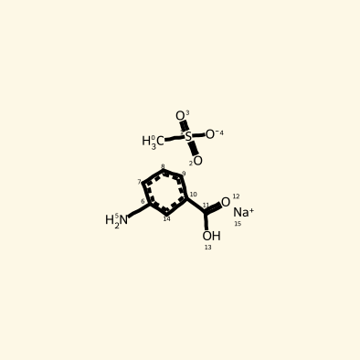 CS(=O)(=O)[O-].Nc1cccc(C(=O)O)c1.[Na+]